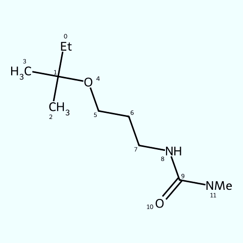 CCC(C)(C)OCCCNC(=O)NC